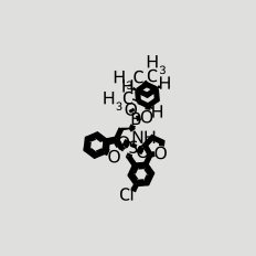 CC1(C)[C@@H]2C[C@H]3OB([C@H](Cc4coc5ccccc45)NS(=O)(=O)Cc4cc(Cl)ccc4C4CCCO4)O[C@@]3(C)[C@H]1C2